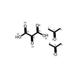 CC(C)=O.CC(C)=O.O=C(O)C(=O)C(=O)O